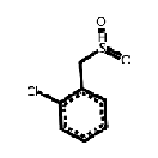 O=[SH](=O)Cc1ccccc1Cl